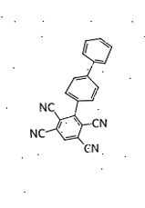 N#Cc1cc(C#N)c(C#N)c(-c2ccc(-c3ccccc3)cc2)c1C#N